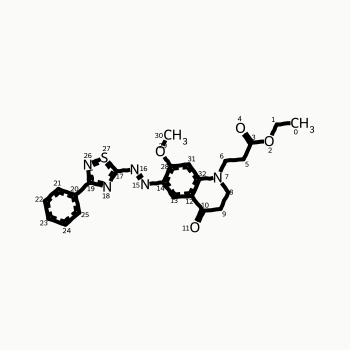 CCOC(=O)CCN1CCC(=O)c2cc(/N=N/c3nc(-c4ccccc4)ns3)c(OC)cc21